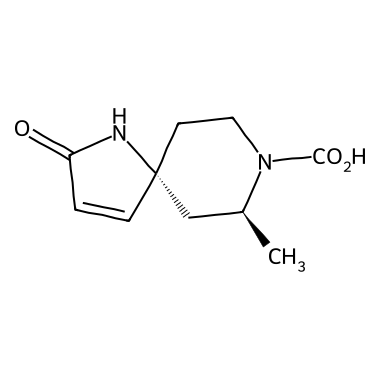 C[C@H]1C[C@@]2(C=CC(=O)N2)CCN1C(=O)O